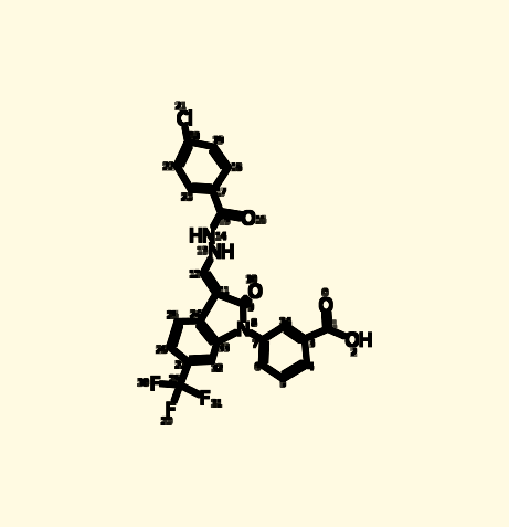 O=C(O)c1cccc(N2C(=O)C(=CNNC(=O)c3ccc(Cl)cc3)c3ccc(C(F)(F)F)cc32)c1